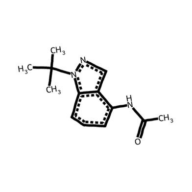 CC(=O)Nc1cccc2c1cnn2C(C)(C)C